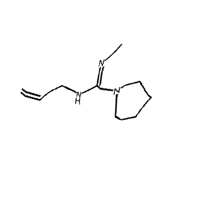 C=CCN/C(=N/C)N1CCCC1